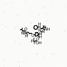 Cc1cc(OCCCNC(=O)[C@@H](N)C(C)C)ccc1Nc1nc(NC2CCCCC2)c2nc[nH]c2n1.O=C(O)C(F)(F)F